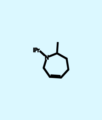 CC(C)N1CC=CCCC1C